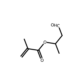 C=C(C)C(=O)OC(C)CC=O